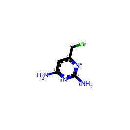 Nc1cc(CBr)nc(N)n1